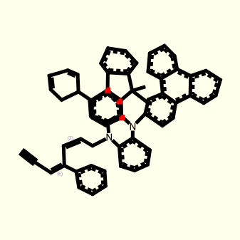 C#C/C=C(\C=C/CN(c1ccc2c(c1)C(C)(C)c1ccccc1-2)c1ccccc1N(c1ccc(C2C=CC=CC2)cc1)c1ccc2c3ccccc3c3ccccc3c2c1)c1ccccc1